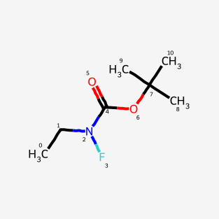 CCN(F)C(=O)OC(C)(C)C